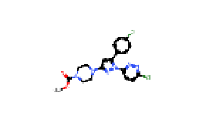 CC(C)(C)OC(=O)N1CCN(c2cc(-c3ccc(Cl)cc3)n(-c3ccc(Cl)nn3)n2)CC1